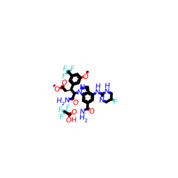 COC(=O)C[C@@H](c1cc(OC)cc(C(F)(F)F)c1)C(C(N)=O)n1ncc2c(NC3=NCC(F)CN3)cc(C(N)=O)cc21.O=C(O)C(F)(F)F